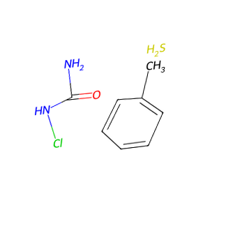 Cc1ccccc1.NC(=O)NCl.S